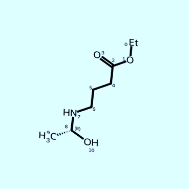 CCOC(=O)CCCN[C@@H](C)O